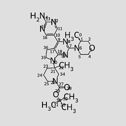 C[C@H]1COCCN1c1nc(-c2cnc(N)nc2)c2c(n1)N(C1(C)CCCN(C(=O)OC(C)(C)C)C1)CC2